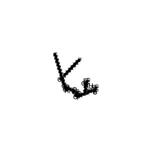 CCCCCCCCCCCCCCN(CCCCCCCCCCCCCC)C(=O)CCCOC1OCC(CNC(=O)CN(F)C(=O)C(F)(F)CCCN(CCCNC(=O)C(F)(F)F)CCCNC(=O)C(F)(F)F)O1